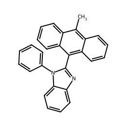 Cc1c2ccccc2c(-c2nc3ccccc3n2-c2ccccc2)c2ccccc12